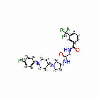 O=C(CNC(=O)c1cccc(C(F)(F)F)c1)N[C@@H]1CCN(C2CCN(c3ccc(F)cc3)CC2)C1